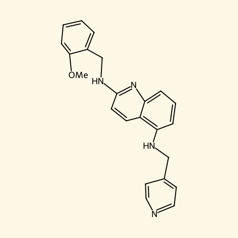 COc1ccccc1CNc1ccc2c(NCc3ccncc3)cccc2n1